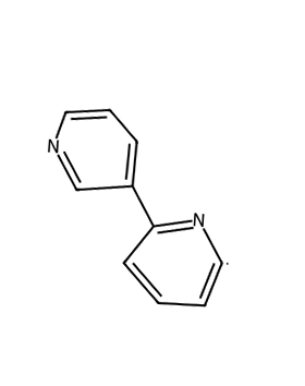 [c]1cccc(-c2cccnc2)n1